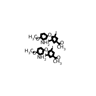 COc1ccc(Oc2c(I)cc(C(C)=O)cc2I)cc1N.COc1ccc(Oc2c(I)cc(C(C)=O)cc2I)cc1N